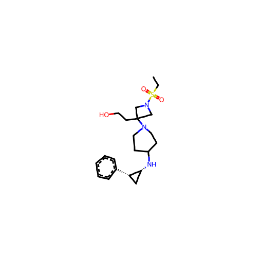 CCS(=O)(=O)N1CC(CCO)(N2CCC(N[C@@H]3C[C@@H]3c3ccccc3)CC2)C1